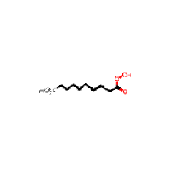 O=C(O)CCCCCCCCC(=O)OO